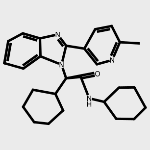 Cc1ccc(-c2nc3ccccc3n2C(C(=O)NC2CCCCC2)C2CCCCC2)cn1